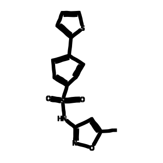 Cc1cc(NS(=O)(=O)c2ccc(-c3cccs3)cc2)no1